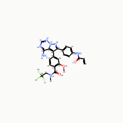 C=CC(=O)Nc1ccc(-c2nn3ncnc(N)c3c2-c2ccc(C(=O)N(C)CC(F)(F)F)c(OC)c2)cc1